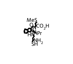 CSCCC(NC(=O)C1Cc2ccccc2CN1CC(NCCC(N)CS)C(C)C)C(=O)O